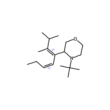 CC/C=C\C(=C(/C)C(C)C)C1COCCN1C(C)(C)C